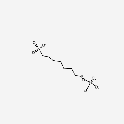 CC[N+](CC)(CC)CC.O=S(=O)([O-])CCCCCCCF